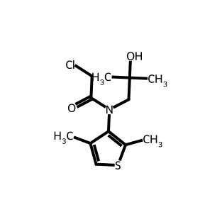 Cc1csc(C)c1N(CC(C)(C)O)C(=O)CCl